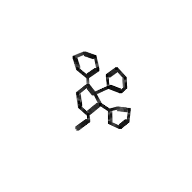 C=Cc1ccc(-c2ccccc2)c(-c2ccccc2)c1-c1ccccc1